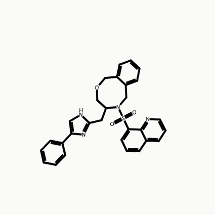 O=S(=O)(c1cccc2cccnc12)N1Cc2ccccc2COCC1Cc1nc(-c2ccccc2)c[nH]1